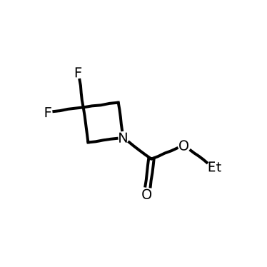 CCOC(=O)N1CC(F)(F)C1